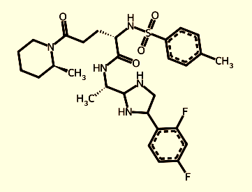 Cc1ccc(S(=O)(=O)N[C@@H](CCC(=O)N2CCCC[C@@H]2C)C(=O)N[C@@H](C)C2NCC(c3ccc(F)cc3F)N2)cc1